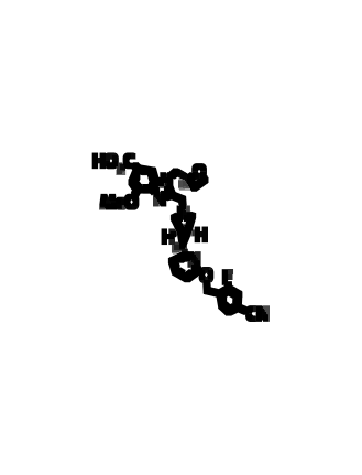 COc1cc(C(=O)O)cc2c1nc(CN1C[C@@H]3[C@H](C1)[C@H]3c1cccc(OCc3ccc(C#N)cc3F)n1)n2C[C@@H]1CCO1